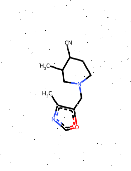 Cc1ncoc1CN1CCC(C#N)C(C)C1